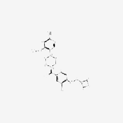 CCc1cc(C(=O)N2CCC(c3cnc(N)cc3OC)CC2)ccc1OCC1CCC1